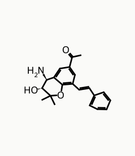 CC(=O)c1cc(/C=C/c2ccccc2)c2c(c1)[C@H](N)[C@@H](O)C(C)(C)O2